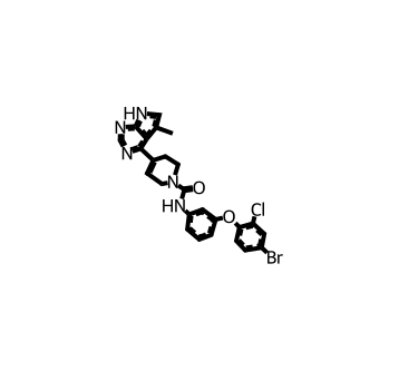 Cc1c[nH]c2ncnc(C3=CCN(C(=O)Nc4cccc(Oc5ccc(Br)cc5Cl)c4)CC3)c12